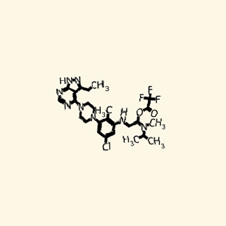 CCc1n[nH]c2ncnc(N3CCN(c4cc(Cl)cc(NCC(OC(=O)C(F)(F)F)N(C)C(C)C)c4C)CC3)c12